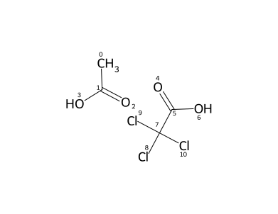 CC(=O)O.O=C(O)C(Cl)(Cl)Cl